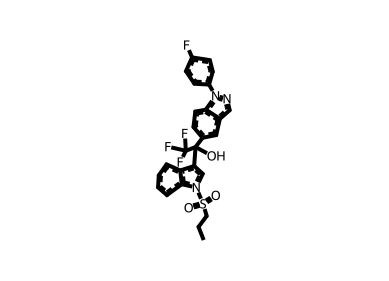 CCCS(=O)(=O)n1cc(C(O)(c2ccc3c(cnn3-c3ccc(F)cc3)c2)C(F)(F)F)c2ccccc21